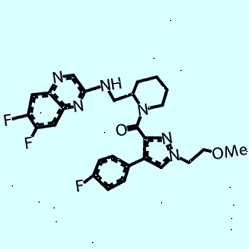 COCCn1cc(-c2ccc(F)cc2)c(C(=O)N2CCCCC2CNc2cnc3cc(F)c(F)cc3n2)n1